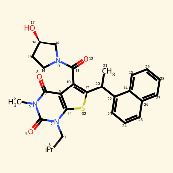 CC(C)Cn1c(=O)n(C)c(=O)c2c(C(=O)N3CC[C@@H](O)C3)c(C(C)c3cccc4ccccc34)sc21